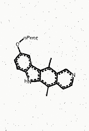 CCCCCOc1ccc2[nH]c3c(C)c4ccncc4c(C)c3c2c1